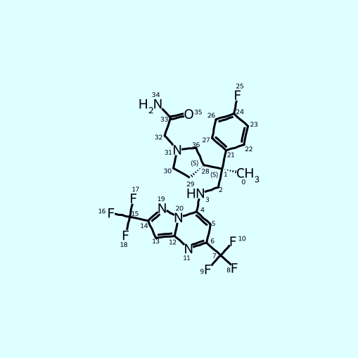 C[C@@](CNc1cc(C(F)(F)F)nc2cc(C(F)(F)F)nn12)(c1ccc(F)cc1)[C@@H]1CCN(CC(N)=O)C1